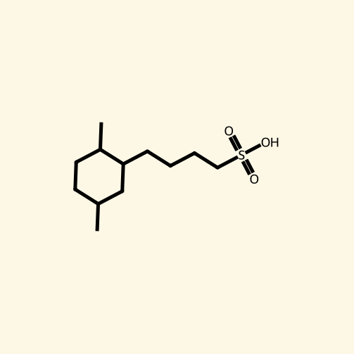 CC1CCC(C)C(CCCCS(=O)(=O)O)C1